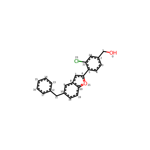 OCc1ccc(-c2cc3cc(Cc4ccccc4)ccc3o2)c(Cl)c1